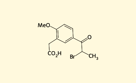 COc1ccc(C(=O)C(C)Br)cc1CC(=O)O